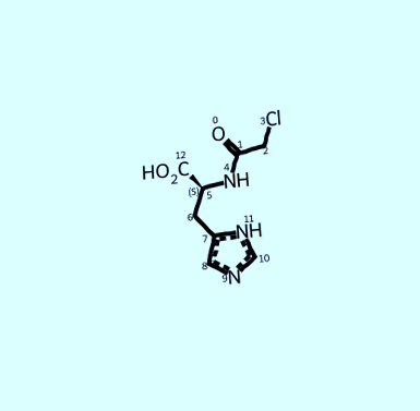 O=C(CCl)N[C@@H](Cc1cnc[nH]1)C(=O)O